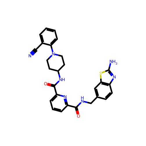 N#Cc1ccccc1N1CCC(NC(=O)c2cccc(C(=O)NCc3ccc4nc(N)sc4c3)n2)CC1